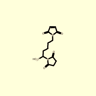 O=C(O)C(CCCCN1C(=O)C=CC1=O)N1C(=O)CCC1=O